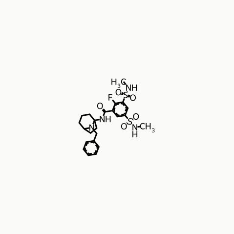 CNS(=O)(=O)c1cc(C(=O)NC23CCCC(CC2)N3Cc2ccccc2)c(F)c(S(=O)(=O)NC)c1